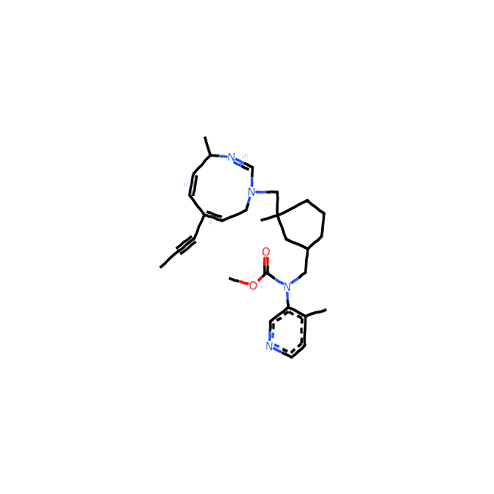 CC#CC1=C/CN(CC2(C)CCCC(CN(C(=O)OC)c3cnccc3C)C2)/C=N\C(C)/C=C\1